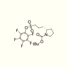 CC(C)(C)OC(=O)N1CCC[C@H]1CCCS(=O)(=O)Oc1c(F)c(F)c(F)c(F)c1F